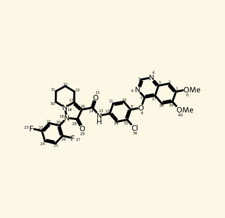 COc1cc2ncnc(Oc3ccc(NC(=O)c4c5n(n(-c6cc(F)ccc6F)c4=O)CCCC5)cc3Cl)c2cc1OC